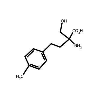 Cc1ccc(CCC(N)(CO)C(=O)O)cc1